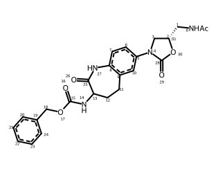 CC(=O)NC[C@H]1CN(c2ccc3c(c2)CCC(NC(=O)OCc2ccccc2)C(=O)N3)C(=O)O1